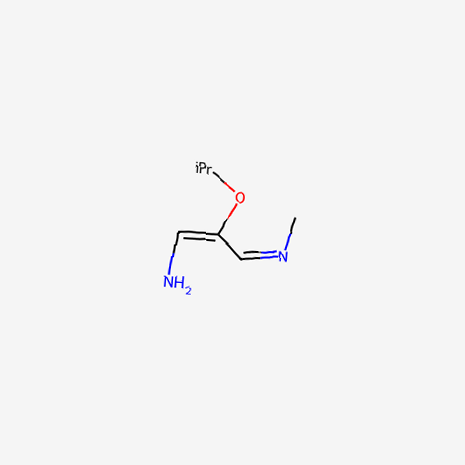 C/N=C\C(=C/N)OC(C)C